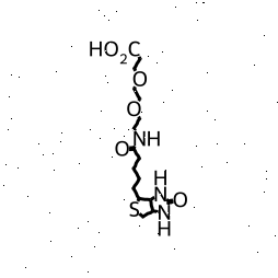 O=C(O)CCOCCOCCNC(=O)CCCCC1SCC2NC(=O)NC21